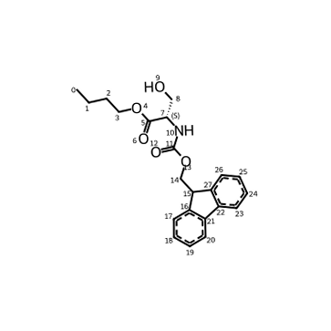 CCCCOC(=O)[C@H](CO)NC(=O)OCC1c2ccccc2-c2ccccc21